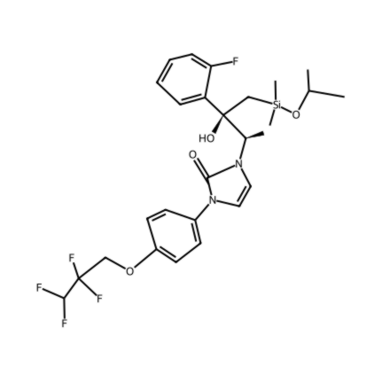 CC(C)O[Si](C)(C)C[C@@](O)(c1ccccc1F)[C@@H](C)n1ccn(-c2ccc(OCC(F)(F)C(F)F)cc2)c1=O